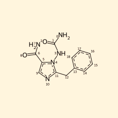 NC(=O)Nn1c(C(N)=O)cnc1Cc1ccccc1